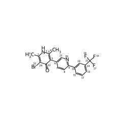 Cc1[nH]c(C)c(-c2ccc(-c3cccc(C(F)(F)F)c3)nc2)c(=O)c1Br